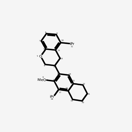 COc1c(C2COc3cccc(C(C)C)c3C2)cc2c(c1C(C)C)CCCC2